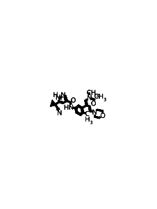 CC(=O)N(C)/C=C(\C=C\N1CCOCC1)c1cc(NC(=O)C(/C=C(\N)C2(C#N)CC2)=C/N)ccc1C